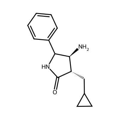 N[C@@H]1C(c2ccccc2)NC(=O)[C@H]1CC1CC1